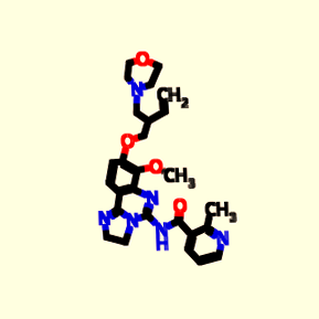 C=CC(COc1ccc2c(c1OC)N=C(NC(=O)c1cccnc1C)N1CCN=C21)CN1CCOCC1